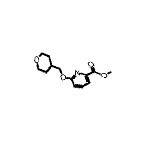 COC(=O)c1cccc(OCC2CCOCC2)n1